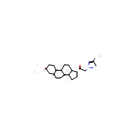 C[C@@]1(O)CC[C@H]2[C@H](CC[C@H]3[C@@H]4CC[C@H](C(=O)Cn5cc(C#N)cn5)[C@@H]4CC[C@@H]32)C1